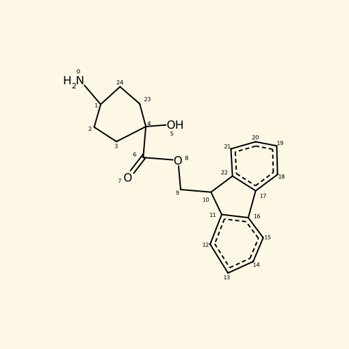 NC1CCC(O)(C(=O)OCC2c3ccccc3-c3ccccc32)CC1